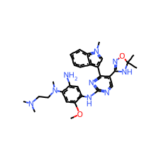 COc1cc(N(C)CCN(C)C)c(N)cc1Nc1ncc(C2=NOC(C)(C)N2)c(-c2cn(C)c3ccccc23)n1